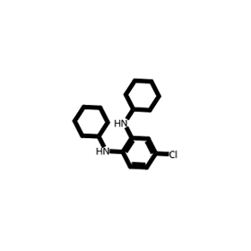 Clc1ccc(NC2CCCCC2)c(NC2CCCCC2)c1